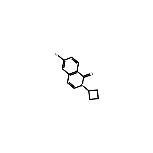 O=c1c2ccc(Br)cc2ccn1C1CCC1